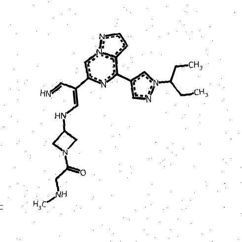 CCC(CC)n1cc(-c2nc(/C(C=N)=C/NC3CN(C(=O)CNC)C3)cn3nccc23)cn1